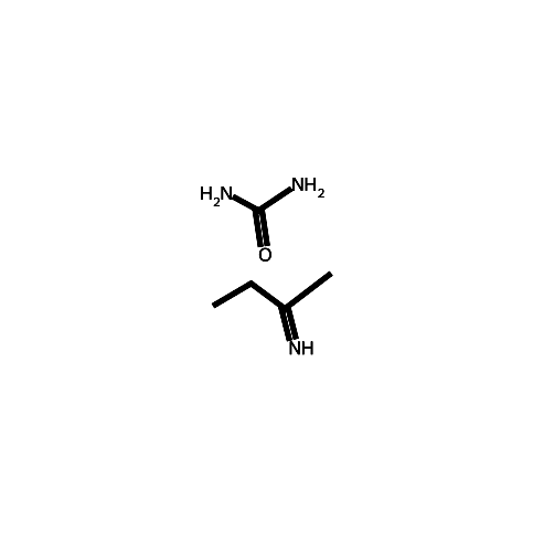 CCC(C)=N.NC(N)=O